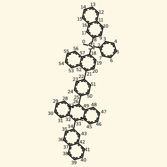 C[Si](c1ccccc1)(c1ccc2ccccc2c1)c1ccc(-c2ccc(-c3c4ccccc4c(-c4ccc5ccccc5c4)c4ccccc34)cc2)c2ccccc12